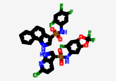 O=S(=O)(Nc1cc(F)c(F)cc1F)c1c[nH]c2c1ccc1ccccc12.O=S(=O)(Nc1cc2c(cc1F)OC(F)(F)O2)c1c[nH]c2nc(Cl)ccc12